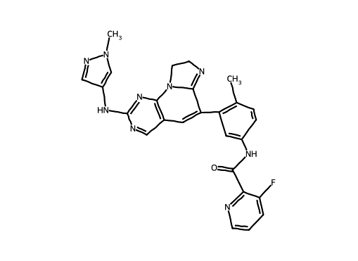 Cc1ccc(NC(=O)c2ncccc2F)cc1C1=Cc2cnc(Nc3cnn(C)c3)nc2N2CCN=C12